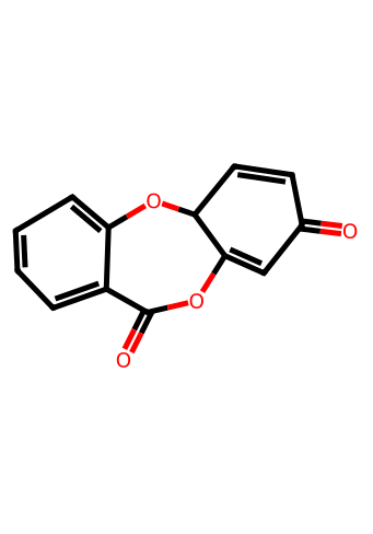 O=C1C=CC2Oc3ccccc3C(=O)OC2=C1